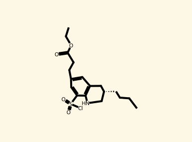 CCCC[C@@H]1CNc2c(cc(CCC(=O)OCC)cc2S(=O)(=O)Cl)C1